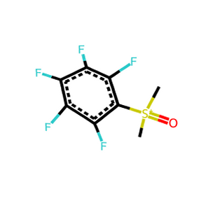 C[S+](C)(=O)c1c(F)c(F)c(F)c(F)c1F